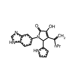 C=C(CCC)C1=C(O)C(=O)N(c2ccc3[nH]cnc3c2)C1c1ccc[nH]1